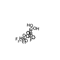 CCC(NC(=O)c1cn(-c2c(F)cccc2Cl)c2nc(N3C[C@@H](O)[C@H](O)C3)ccc2c1=O)C(F)(F)F